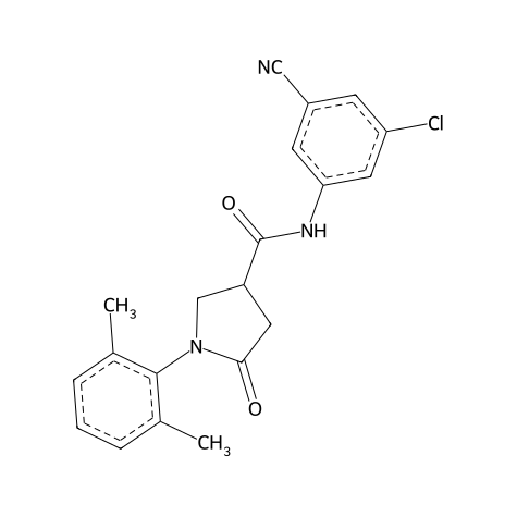 Cc1cccc(C)c1N1CC(C(=O)Nc2cc(Cl)cc(C#N)c2)CC1=O